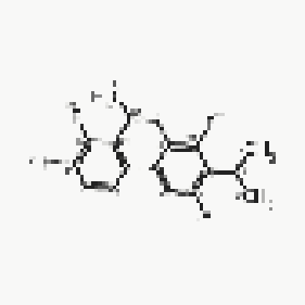 CC(C)c1c(F)ccc(CC(C)c2cccc(F)c2F)c1F